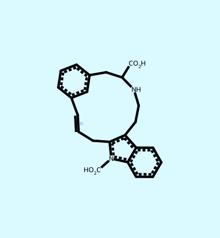 O=C(O)C1Cc2cccc(c2)/C=C/Cc2c(c3ccccc3n2C(=O)O)CCN1